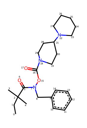 CCC(C)(C)C(=O)N(Cc1ccccc1)OC(=O)N1CCC(N2CCCCC2)CC1